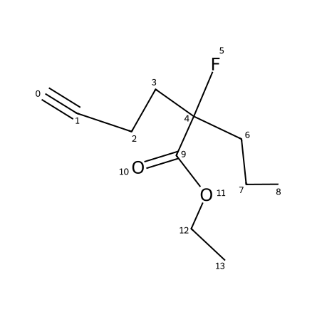 C#CCCC(F)(CCC)C(=O)OCC